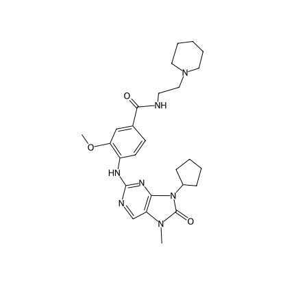 COc1cc(C(=O)NCCN2CCCCC2)ccc1Nc1ncc2c(n1)n(C1CCCC1)c(=O)n2C